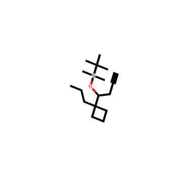 C#CCC(O[Si](C)(C)C(C)(C)C)C1(CCC)CCC1